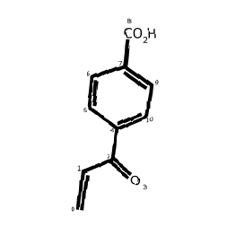 C=CC(=O)c1ccc(C(=O)O)cc1